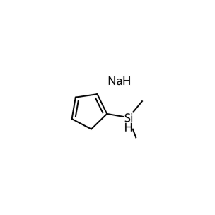 C[SiH](C)C1=CC=CC1.[NaH]